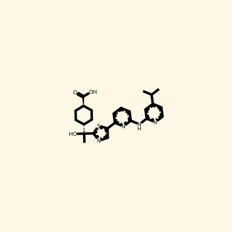 CC(C)c1ccnc(Nc2cccc(-c3cnc(C(C)(O)[C@H]4CC[C@H](C(=O)O)CC4)s3)n2)c1